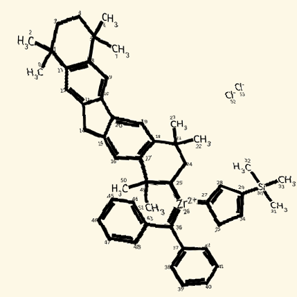 CC1(C)CCC(C)(C)c2cc3c(cc21)Cc1cc2c(cc1-3)C(C)(C)C[CH]([Zr+2]([C]1=CC([Si](C)(C)C)=CC1)=[C](c1ccccc1)c1ccccc1)C2(C)C.[Cl-].[Cl-]